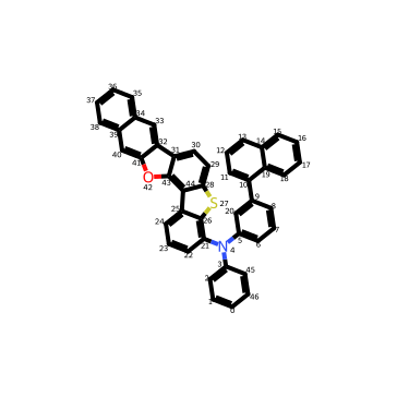 c1ccc(N(c2cccc(-c3cccc4ccccc34)c2)c2cccc3c2sc2ccc4c5cc6ccccc6cc5oc4c23)cc1